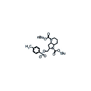 CCCCOC(=O)N1CCCC2C1CC(COS(=O)(=O)c1ccc(C)cc1)N2C(=O)OC(C)(C)C